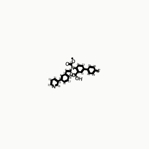 COC(=O)N(c1cc2cc(-c3cccnc3)ccc2o1)c1ccc(-c2ccc(F)cc2)cc1C(=O)O